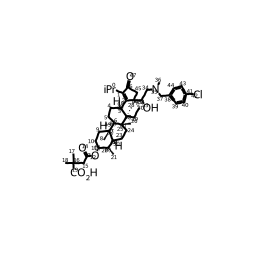 CC(C)C1=C2[C@H]3CC[C@@H]4[C@@]5(C)CC[C@H](OC(=O)CC(C)(C)C(=O)O)[C@H](C)[C@@H]5CC[C@@]4(C)[C@]3(C)CC[C@@]2([C@H](O)CN(C)Cc2ccc(Cl)cc2)CC1=O